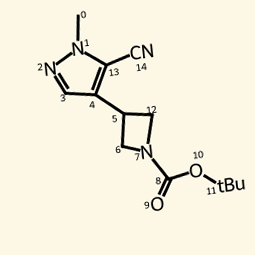 Cn1ncc(C2CN(C(=O)OC(C)(C)C)C2)c1C#N